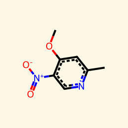 COc1cc(C)ncc1[N+](=O)[O-]